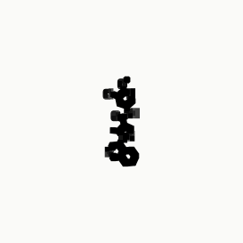 COc1ncc(NC(=O)c2cnn(-c3cncc4ccccc34)c2C)cc1Cl